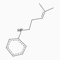 CC(C)=CCCPc1ccccc1